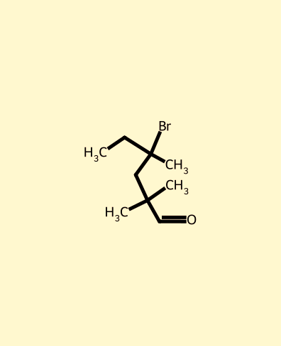 CCC(C)(Br)CC(C)(C)C=O